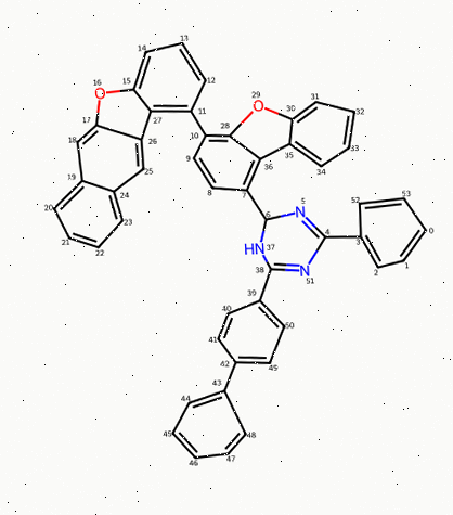 c1ccc(C2=NC(c3ccc(-c4cccc5oc6cc7ccccc7cc6c45)c4oc5ccccc5c34)NC(c3ccc(-c4ccccc4)cc3)=N2)cc1